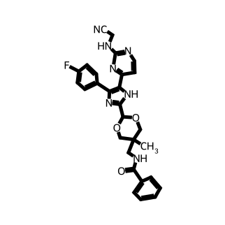 CC1(CNC(=O)c2ccccc2)COC(c2nc(-c3ccc(F)cc3)c(-c3ccnc(NCC#N)n3)[nH]2)OC1